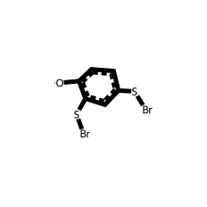 [O]c1ccc(SBr)cc1SBr